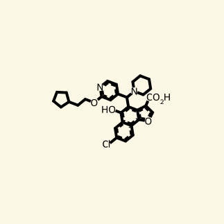 O=C(O)c1coc2c1c(C(c1ccnc(OCCC3CCCC3)c1)N1CCCCC1)c(O)c1cc(Cl)ccc12